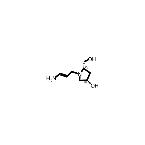 NC=CCN1C[C@H](O)C[C@H]1CO